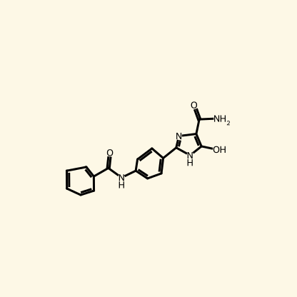 NC(=O)c1nc(-c2ccc(NC(=O)c3ccccc3)cc2)[nH]c1O